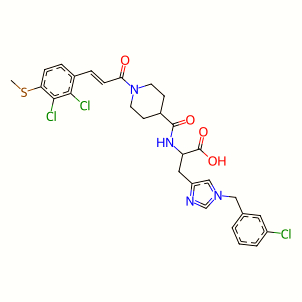 CSc1ccc(C=CC(=O)N2CCC(C(=O)NC(Cc3cn(Cc4cccc(Cl)c4)cn3)C(=O)O)CC2)c(Cl)c1Cl